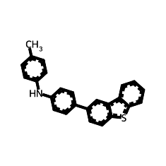 Cc1ccc(Nc2ccc(-c3ccc4sc5ccccc5c4c3)cc2)cc1